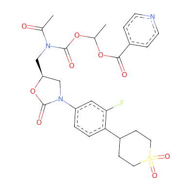 CC(=O)N(C[C@H]1CN(c2ccc(C3CCS(=O)(=O)CC3)c(F)c2)C(=O)O1)C(=O)OC(C)OC(=O)c1ccncc1